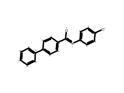 ClC(=Nc1ccc(Cl)cc1)c1ccc(-c2ccccc2)cc1